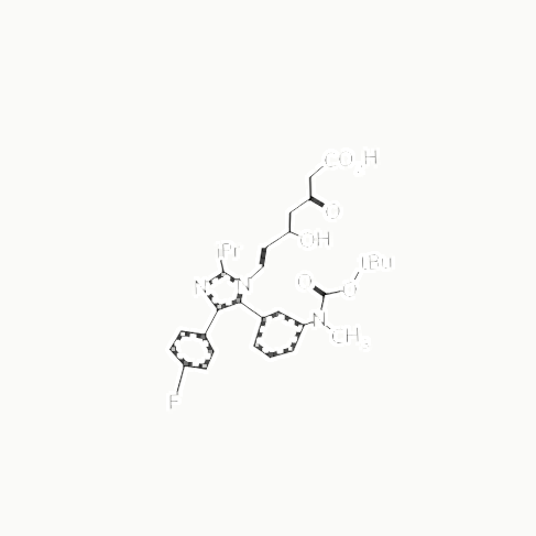 CC(C)c1nc(-c2ccc(F)cc2)c(-c2cccc(N(C)C(=O)OC(C)(C)C)c2)n1/C=C/C(O)CC(=O)CC(=O)O